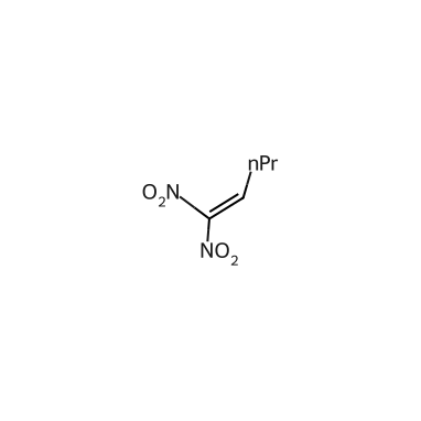 CCCC=C([N+](=O)[O-])[N+](=O)[O-]